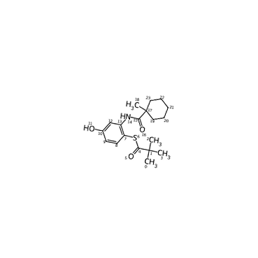 CC(C)(C)C(=O)Sc1ccc(O)cc1NC(=O)C1(C)CCCCC1